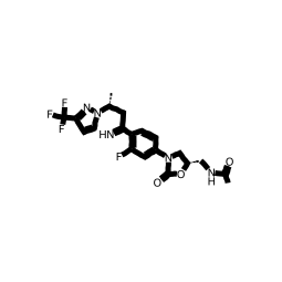 CC(=O)NC[C@H]1CN(c2ccc(C(=N)C[C@@H](C)n3ccc(C(F)(F)F)n3)c(F)c2)C(=O)O1